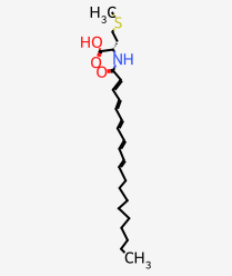 CCCCCCCCCC=CC=CC=CC=CC=CC(=O)N[C@@H](CCSC)C(=O)O